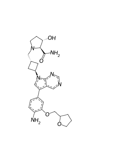 NC(=O)[C@@H]1[C@@H](O)CCN1C[C@H]1C[C@H](n2cc(-c3ccc(N)c(OCC4CCCO4)c3)c3cncnc32)C1